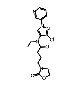 CCN(C(=O)CCCN1CCOC1=O)c1cn(-c2cccnc2)nc1Cl